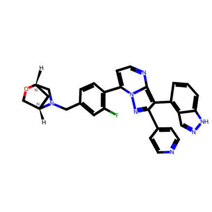 Fc1cc(CN2C[C@@H]3C[C@H]2CO3)ccc1-c1ccnc2c(-c3cccc4[nH]ncc34)c(-c3ccncc3)nn12